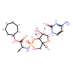 C[C@H](NP1(=O)OC[C@H]2O[C@@H](n3ccc(N)nc3=O)[C@](C)(O)[C@@H]2O1)C(=O)OC1CCCCCC1